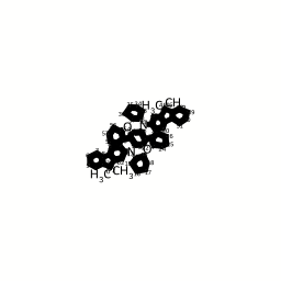 CC1(C)c2ccccc2-c2ccc(N(c3ccccc3)c3c4oc5ccccc5c4c(N(c4ccccc4)c4ccc5c(c4)C(C)(C)c4ccccc4-5)c4oc5ccccc5c34)cc21